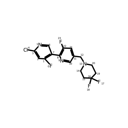 Fc1cc(Cl)ncc1-c1ncc(CN2CCC(F)(F)CC2)cc1F